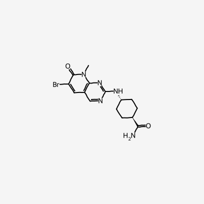 Cn1c(=O)c(Br)cc2cnc(N[C@H]3CC[C@H](C(N)=O)CC3)nc21